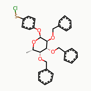 C[C@@H]1O[C@@H](Oc2ccc(SCl)cc2)[C@@H](OCc2ccccc2)[C@H](OCc2ccccc2)[C@@H]1OCc1ccccc1